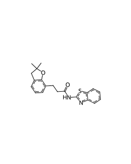 CC1(C)Cc2cccc(CCC(=O)Nc3nc4ccccc4s3)c2O1